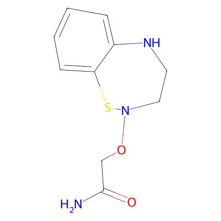 NC(=O)CON1CCNc2ccccc2S1